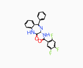 O=C(N[C@H]1N=C(c2ccccc2)c2ccccc2NC1=O)c1cc(F)c(F)cc1F